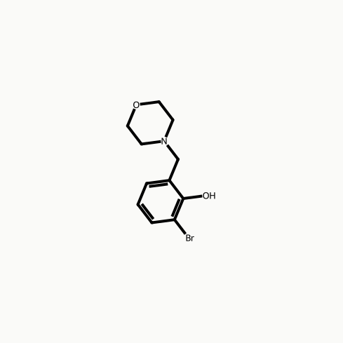 Oc1c(Br)cccc1CN1CCOCC1